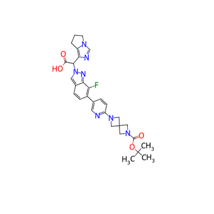 CC(C)(C)OC(=O)N1CC2(C1)CN(c1ccc(-c3ccc4cn(C(C(=O)O)c5ncn6c5CCC6)nc4c3F)cn1)C2